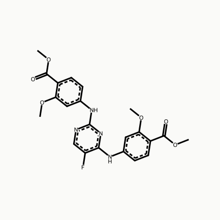 COC(=O)c1ccc(Nc2ncc(F)c(Nc3ccc(C(=O)OC)c(OC)c3)n2)cc1OC